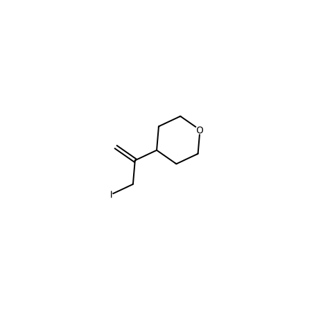 C=C(CI)C1CCOCC1